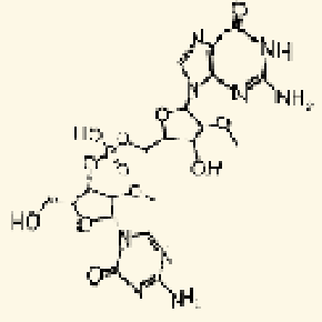 COC1C(OP(=O)(O)OC[C@H]2O[C@@H](n3cnc4c(=O)[nH]c(N)nc43)C(OC)C2O)[C@@H](CO)O[C@H]1n1cnc(N)nc1=O